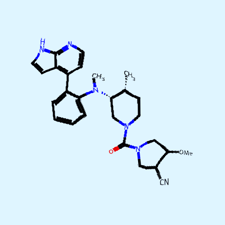 COC1CN(C(=O)N2CC[C@@H](C)[C@@H](N(C)c3ccccc3-c3ccnc4[nH]ccc34)C2)CC1C#N